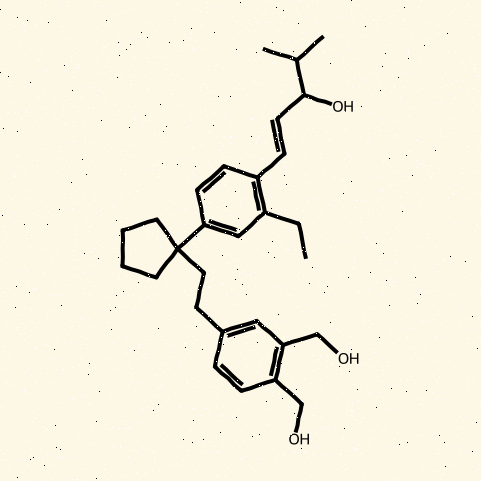 CCc1cc(C2(CCc3ccc(CO)c(CO)c3)CCCC2)ccc1/C=C/C(O)C(C)C